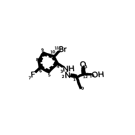 C/C(=N/Nc1cc(F)ccc1Br)C(=O)O